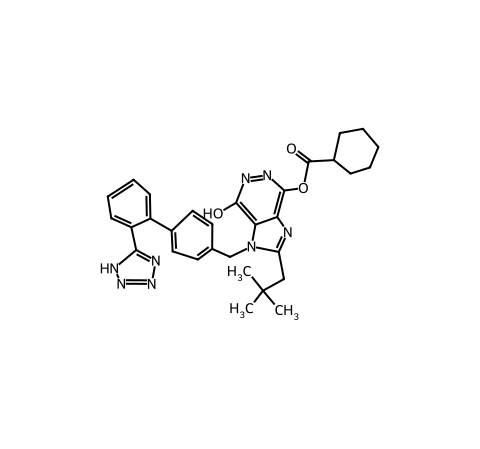 CC(C)(C)Cc1nc2c(OC(=O)C3CCCCC3)nnc(O)c2n1Cc1ccc(-c2ccccc2-c2nnn[nH]2)cc1